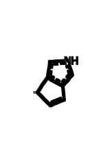 [CH]1C=Cc2c[nH]cc21